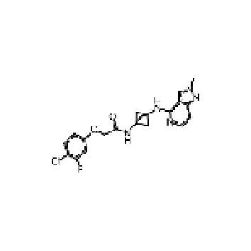 Cn1cc2c(NC34CC(NC(=O)COc5ccc(Cl)c(F)c5)(C3)C4)nccc2n1